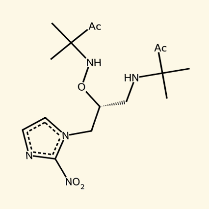 CC(=O)C(C)(C)NC[C@H](Cn1ccnc1[N+](=O)[O-])ONC(C)(C)C(C)=O